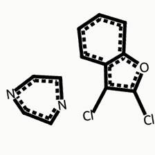 Clc1oc2ccccc2c1Cl.c1cnccn1